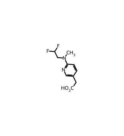 CN(CC(F)F)c1ccc(CC(=O)O)cn1